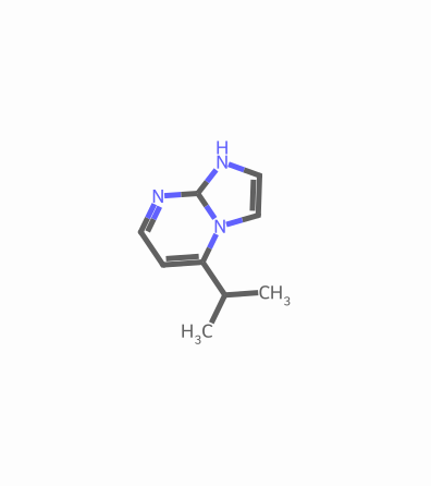 CC(C)C1=CC=NC2NC=CN12